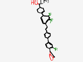 CC(O)C1CC=C(c2ccc(CCc3ccc(-c4ccc(C5CO5)c(F)c4)cc3)c(F)c2F)CC1